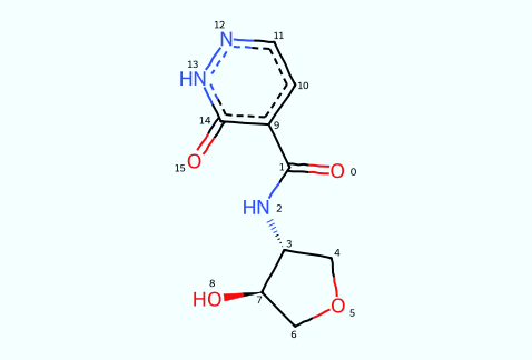 O=C(N[C@@H]1COC[C@H]1O)c1ccn[nH]c1=O